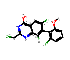 COc1cccc(F)c1-c1c(Cl)cc2c(O)nc(CCl)nc2c1F